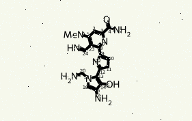 CNc1cc(C(N)=O)nc(C2=CCC(c3c(O)c(N)cn3CN)=N2)c1C=N